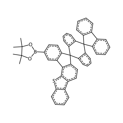 CC1(C)OB(c2ccc3c(c2)-c2c(ccc4c2sc2ccccc24)C32c3ccccc3C3(c4ccccc4-c4ccccc43)c3ccccc32)OC1(C)C